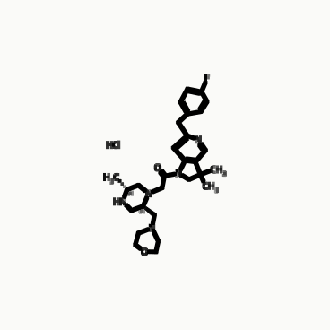 C[C@@H]1CN(CC(=O)N2CC(C)(C)c3cnc(Cc4ccc(F)cc4)cc32)[C@@H](CN2CCOCC2)CN1.Cl